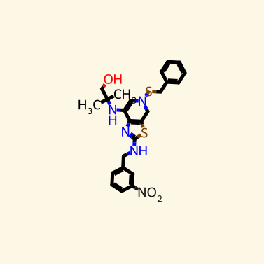 CC(C)(CO)NC1=CN(SCc2ccccc2)Cc2sc(NCc3cccc([N+](=O)[O-])c3)nc21